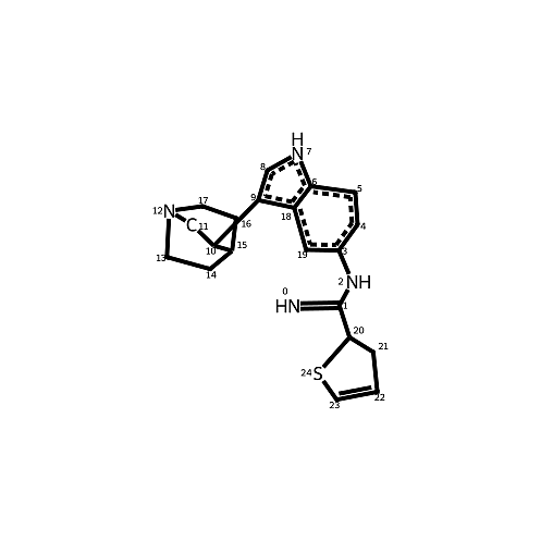 N=C(Nc1ccc2[nH]cc(C3CN4CCC3CC4)c2c1)C1CC=CS1